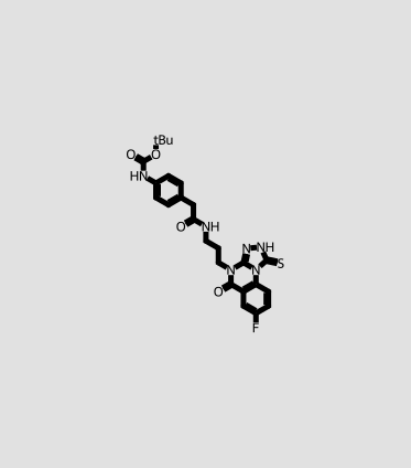 CC(C)(C)OC(=O)Nc1ccc(CC(=O)NCCCn2c(=O)c3cc(F)ccc3n3c(=S)[nH]nc23)cc1